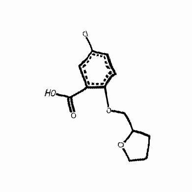 O=C(O)c1cc(Cl)ccc1OCC1CCCO1